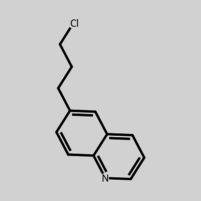 ClCCCc1ccc2ncccc2c1